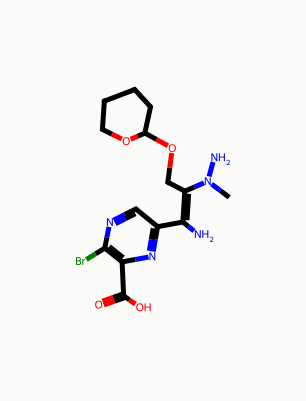 CN(N)/C(COC1CCCCO1)=C(\N)c1cnc(Br)c(C(=O)O)n1